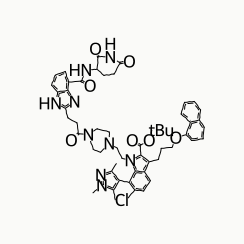 Cc1nn(C)c(C)c1-c1c(Cl)ccc2c(CCCOc3cccc4ccccc34)c(C(=O)OC(C)(C)C)n(CCN3CCN(C(=O)CCc4nc5c(C(=O)NC6CCC(=O)NC6=O)cccc5[nH]4)CC3)c12